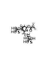 CC.CCC.Cc1cc(OC(=O)N(C)C)nc(C)n1.OP(O)(O)=S.OP(O)(O)=S